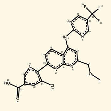 COCc1cc(Nc2ncc(C(F)(F)F)cn2)c2ccc(-c3ncc(C(=O)O)cc3Cl)nc2n1